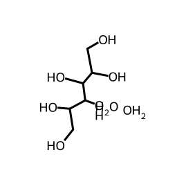 O.O.OCC(O)C(O)C(O)C(O)CO